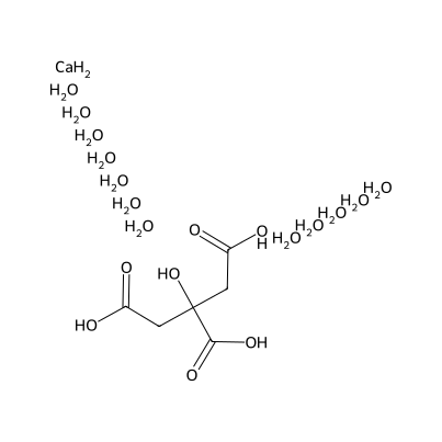 O.O.O.O.O.O.O.O.O.O.O.O.O=C(O)CC(O)(CC(=O)O)C(=O)O.[CaH2]